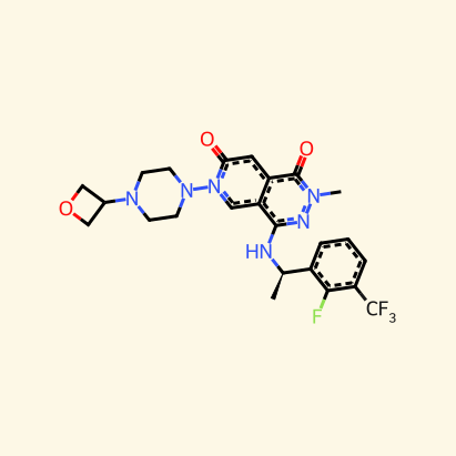 C[C@@H](Nc1nn(C)c(=O)c2cc(=O)n(N3CCN(C4COC4)CC3)cc12)c1cccc(C(F)(F)F)c1F